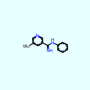 CC(C)(C)c1cncc(C(=N)Nc2ccccc2)c1